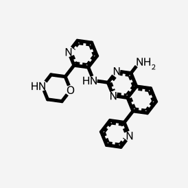 Nc1nc(Nc2cccnc2C2CNCCO2)nc2c(-c3ccccn3)cccc12